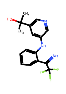 CC(C)(O)c1cncc(Nc2ccccc2C(=N)C(F)(F)F)c1